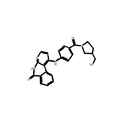 O=C(c1ccc(Nc2ccnc3[nH]c(=O)c4ccccc4c23)cc1)N1CCC(CO)C1